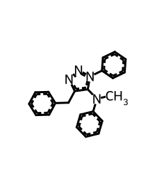 CN(c1ccccc1)c1c(Cc2ccccc2)nnn1-c1ccccc1